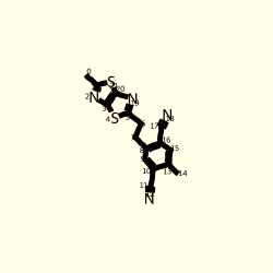 Cc1nc2sc(CCc3cc(C#N)c(C)cc3C#N)nc2s1